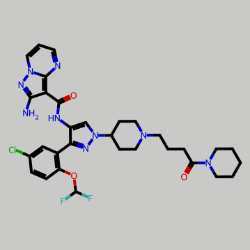 Nc1nn2cccnc2c1C(=O)Nc1cn(C2CCN(CCCC(=O)N3CCCCC3)CC2)nc1-c1cc(Cl)ccc1OC(F)F